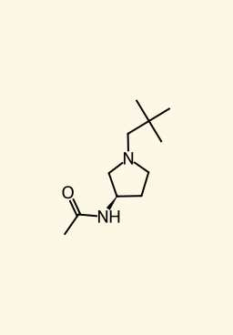 CC(=O)N[C@@H]1CCN(CC(C)(C)C)C1